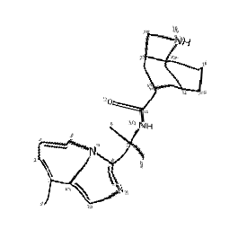 Cc1cccn2c(C(C)(C)NC(=O)C3C4CCC45NCC35)ncc12